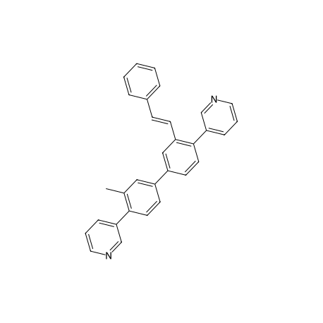 Cc1cc(-c2ccc(-c3cccnc3)c(C=Cc3ccccc3)c2)ccc1-c1cccnc1